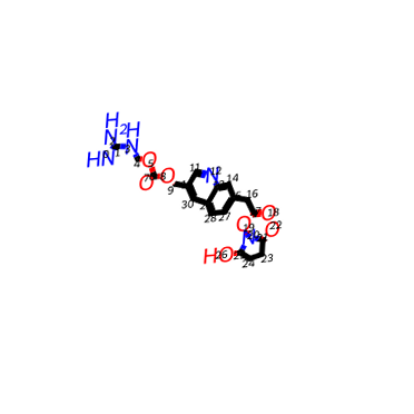 N=C(N)NCOC(=O)OCc1cnc2cc(CC(=O)ON3C(=O)CCC3O)ccc2c1